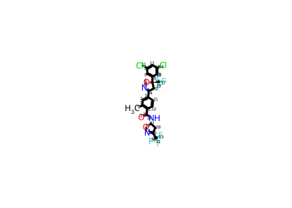 Cc1cc(C2=NO[C@@](c3cc(Cl)cc(Cl)c3)(C(F)(F)F)C2)ccc1C(=O)N[C@@H]1CC(C(F)(F)F)=NO1